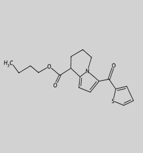 CCCCOC(=O)C1CCCn2c(C(=O)c3cccs3)ccc21